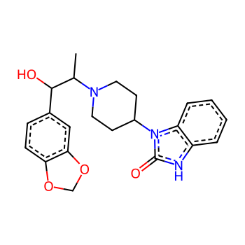 CC(C(O)c1ccc2c(c1)OCO2)N1CCC(n2c(=O)[nH]c3ccccc32)CC1